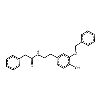 O=C(Cc1ccccc1)NCCc1ccc(O)c(OCc2ccccc2)c1